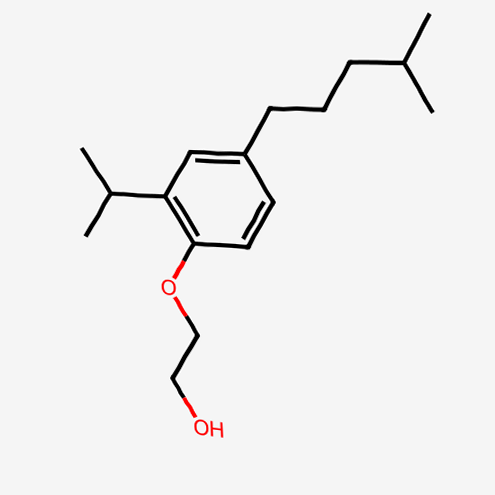 CC(C)CCCc1ccc(OCCO)c(C(C)C)c1